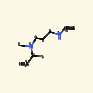 CCCCCNCCCN(C)C(C)C(=O)O